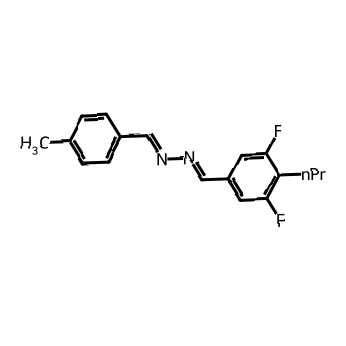 CCCc1c(F)cc(C=NN=Cc2ccc(C)cc2)cc1F